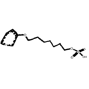 O=S(O)(=S)OCCCCCCCOc1ccccc1